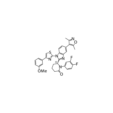 COc1cccc(-c2csc(-n3c([C@@H]4CCCC(=O)N4c4ccc(F)c(F)c4)nc4cc(-c5c(C)noc5C)ccc43)n2)c1